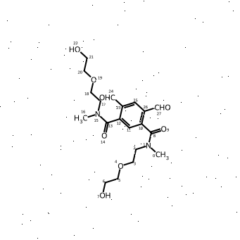 CN(CCOCCO)C(=O)c1cc(C(=O)N(C)CCOCCO)c(C=O)cc1C=O